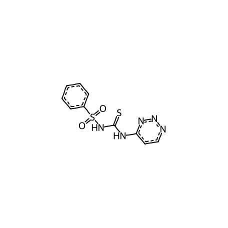 O=S(=O)(NC(=S)Nc1ccnnn1)c1ccccc1